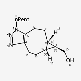 CCCCCn1nnc2c1CC[C@@H]1[C@@H](CO)[C@@H]1CC2